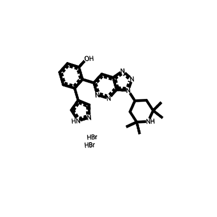 Br.Br.CC1(C)CC(n2nnc3cc(-c4c(O)cccc4-c4cn[nH]c4)nnc32)CC(C)(C)N1